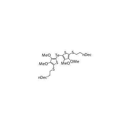 CCCCCCCCCCCCSc1sc([Te]c2sc(SCCCCCCCCCCCC)c(OC)c2OC)c(OC)c1OC